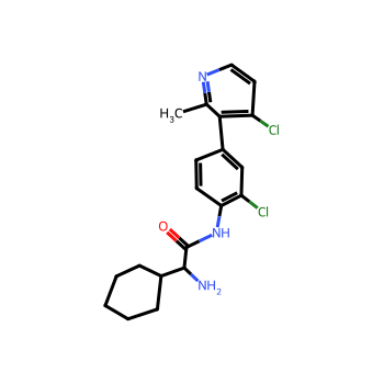 Cc1nccc(Cl)c1-c1ccc(NC(=O)C(N)C2CCCCC2)c(Cl)c1